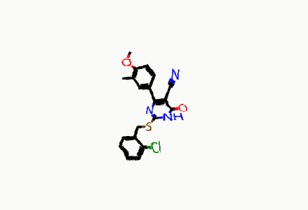 COc1ccc(-c2nc(SCc3ccccc3Cl)[nH]c(=O)c2C#N)cc1C